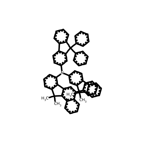 CC1(C)c2ccccc2-c2ccc(N(c3ccc4c(c3)C(c3ccccc3)(c3ccccc3)c3ccccc3-4)c3cccc4c3-c3cc(-c5ccccc5)c5ccccc5c3C4(C)C)cc21